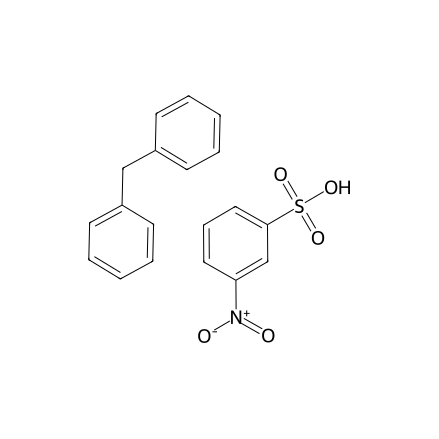 O=[N+]([O-])c1cccc(S(=O)(=O)O)c1.c1ccc(Cc2ccccc2)cc1